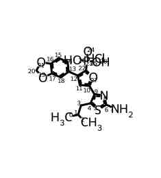 CC(C)Cc1sc(N)nc1-c1cc(-c2ccc3c(c2)OCO3)c(P(=O)(O)O)o1.Cl